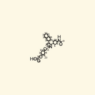 CC(=O)Nc1ccc(-c2nc(COc3ccc(OCC(=O)O)c(C)c3)sc2-c2ccc3ccccc3c2)cc1